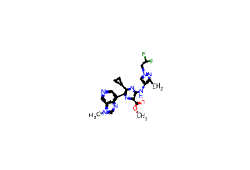 COC(=O)c1nc(-c2cncc3c2ncn3C)c(C2CC2)nc1Nc1cn(CC(F)F)nc1C